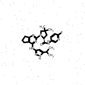 CC(C)c1cc(Nc2nc(N3CC(C)(C)C[C@H]3C(=O)Nc3ccc(F)nc3)nc3c2CCC3)n[nH]1